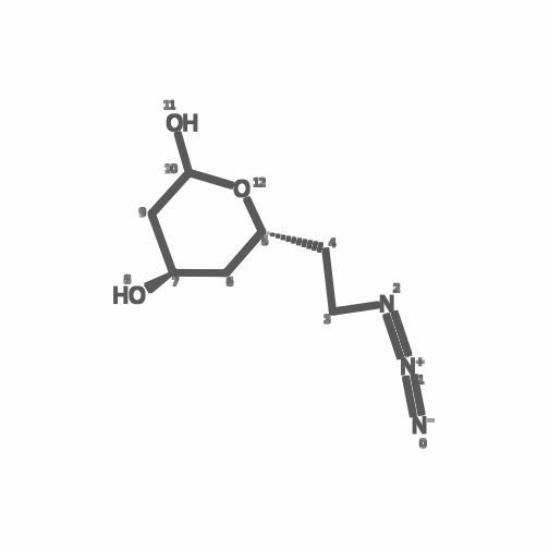 [N-]=[N+]=NCC[C@@H]1C[C@@H](O)CC(O)O1